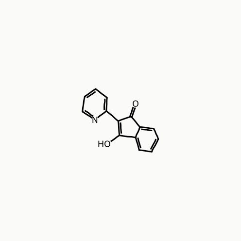 O=C1C(c2ccccn2)=C(O)c2ccccc21